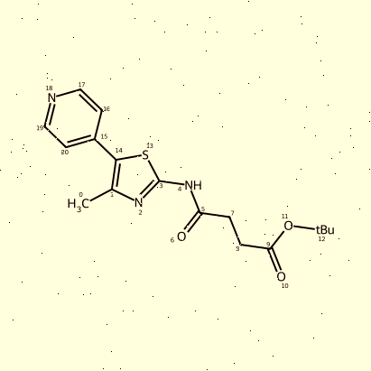 Cc1nc(NC(=O)CCC(=O)OC(C)(C)C)sc1-c1ccncc1